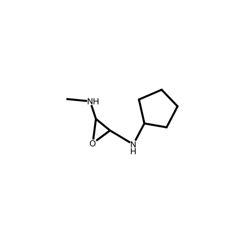 CNC1OC1NC1CCCC1